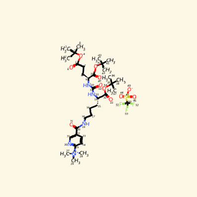 CC(C)(C)OC(=O)CC[C@H](NC(=O)N[C@@H](CCCCNC(=O)c1ccc([N+](C)(C)C)nc1)C(=O)OC(C)(C)C)C(=O)OC(C)(C)C.O=S(=O)([O-])C(F)(F)F